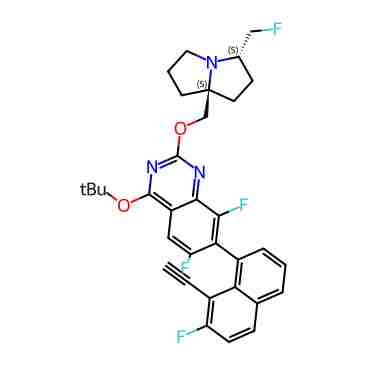 C#Cc1c(F)ccc2cccc(-c3c(F)cc4c(OC(C)(C)C)nc(OC[C@@]56CCCN5[C@H](CF)CC6)nc4c3F)c12